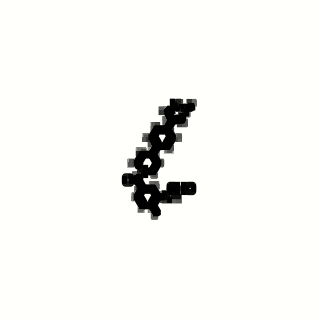 Cc1ccc(C(=O)N2CCC(c3ccc(-c4cnn(C)c4)cc3)CC2)cc1NC=O